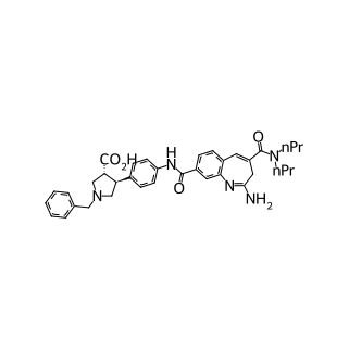 CCCN(CCC)C(=O)C1=Cc2ccc(C(=O)Nc3ccc([C@H]4CN(Cc5ccccc5)C[C@@H]4C(=O)O)cc3)cc2N=C(N)C1